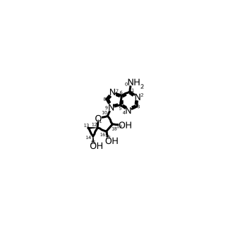 Nc1ncnc2c1ncn2C1O[C@]2(C[C@@H]2O)C(O)C1O